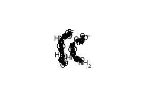 NC(=O)c1ccc(NC2CCN(S(=O)(=O)c3ccc(CNC(=O)c4cccc([N+](=O)[O-])c4)s3)CC2)cc1.O=C(NCc1ccc(S(=O)(=O)N2CCC(Nc3ccc(S(=O)(=O)C(F)(F)F)cc3)CC2)s1)c1cccc([N+](=O)[O-])c1